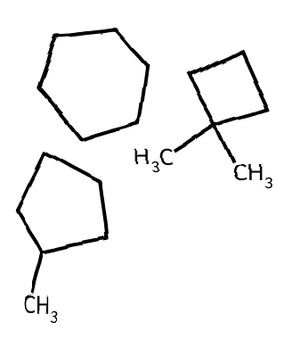 C1CCCCC1.CC1(C)CCC1.CC1CCCC1